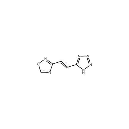 C(=C\c1nnn[nH]1)/c1ncon1